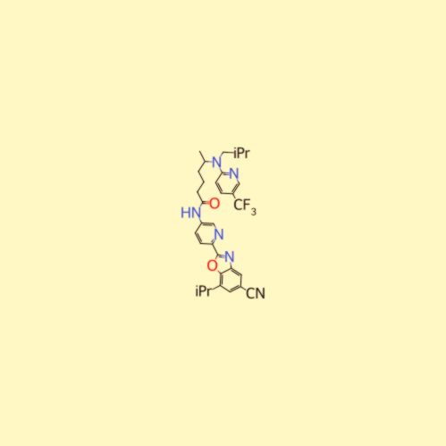 CC(C)CN(c1ccc(C(F)(F)F)cn1)C(C)CCCC(=O)Nc1ccc(-c2nc3cc(C#N)cc(C(C)C)c3o2)nc1